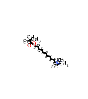 CCC[N+](C)(C)CCCCCCCCCCCOC(=O)C(C)(C)CC